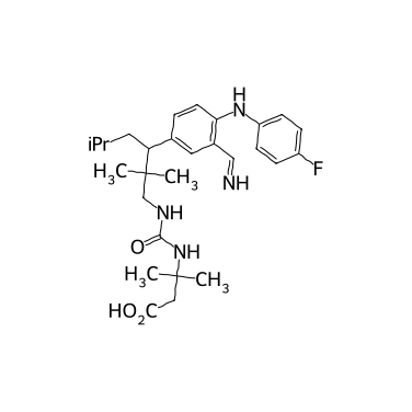 CC(C)CC(c1ccc(Nc2ccc(F)cc2)c(C=N)c1)C(C)(C)CNC(=O)NC(C)(C)CC(=O)O